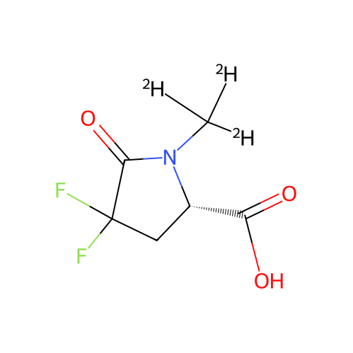 [2H]C([2H])([2H])N1C(=O)C(F)(F)C[C@H]1C(=O)O